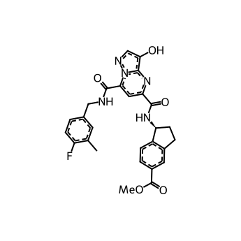 COC(=O)c1ccc2c(c1)CC[C@@H]2NC(=O)c1cc(C(=O)NCc2ccc(F)c(C)c2)n2ncc(O)c2n1